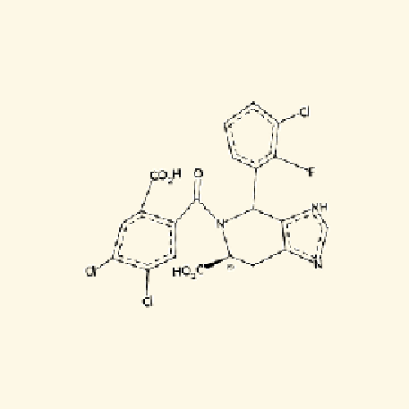 O=C(O)c1cc(Cl)c(Cl)cc1C(=O)N1C(c2cccc(Cl)c2F)c2[nH]cnc2C[C@H]1C(=O)O